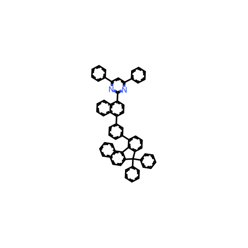 c1ccc(-c2cc(-c3ccccc3)nc(-c3ccc(-c4cccc(-c5cccc6c5-c5c(ccc7ccccc57)C6(c5ccccc5)c5ccccc5)c4)c4ccccc34)n2)cc1